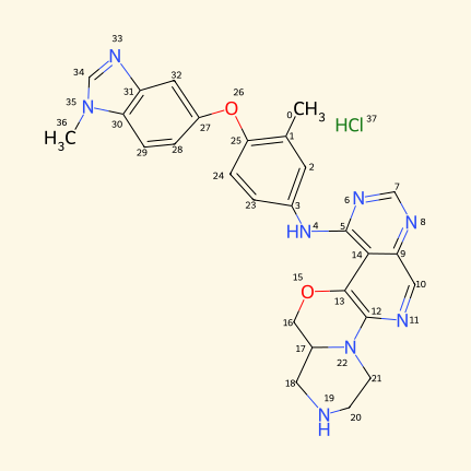 Cc1cc(Nc2ncnc3cnc4c(c23)OCC2CNCCN42)ccc1Oc1ccc2c(c1)ncn2C.Cl